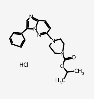 CC(C)OC(=O)N1CCN(c2ccc3ncc(-c4ccccc4)n3n2)CC1.Cl